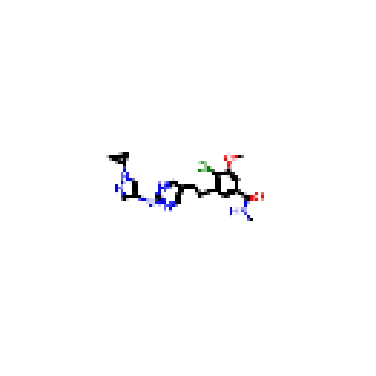 CNC(=O)c1cc(CCc2cnc(Nc3cnn(C4CC4)c3)nc2)c(Cl)c(OC)c1